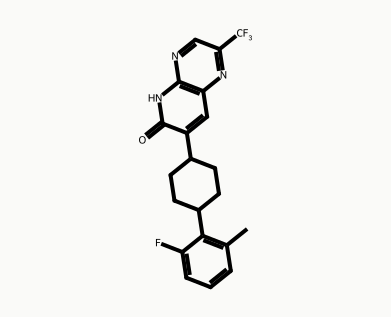 Cc1cccc(F)c1C1CCC(c2cc3nc(C(F)(F)F)cnc3[nH]c2=O)CC1